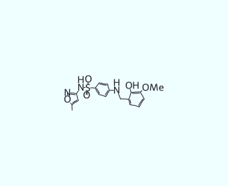 COc1cccc(CNc2ccc(S(=O)(=O)Nc3cc(C)on3)cc2)c1O